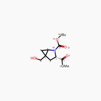 COC(=O)[C@@H]1CC2(CO)CC2N1C(=O)OC(C)(C)C